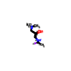 CC(I)NCC(O)CN(C)C